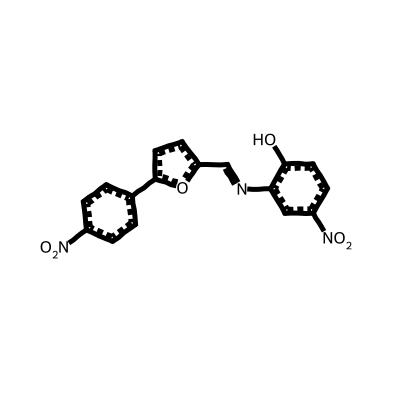 O=[N+]([O-])c1ccc(-c2ccc(C=Nc3cc([N+](=O)[O-])ccc3O)o2)cc1